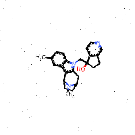 Cc1ccc2c(c1)c1c(n2CC2(O)CCc3cnccc32)CC2CCC1N2C